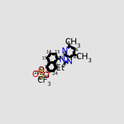 CCc1nc2c(C)cc(C)nc2n1-c1cccc2cc(OS(=O)(=O)C(F)(F)F)ccc12